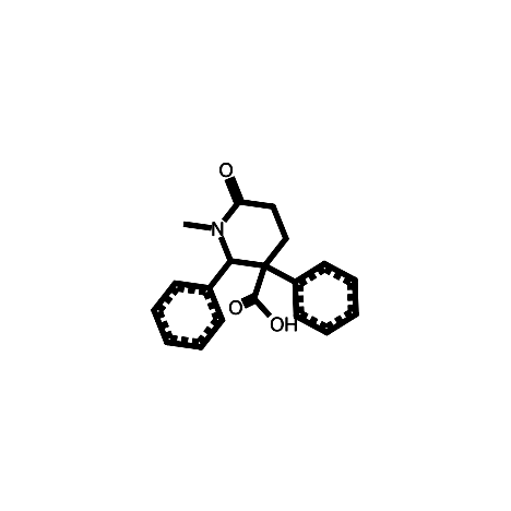 CN1C(=O)CCC(C(=O)O)(c2ccccc2)C1c1ccccc1